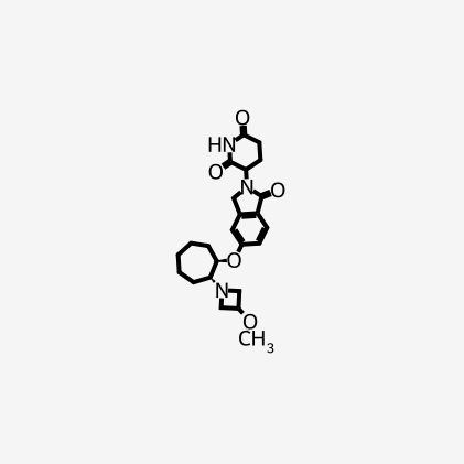 COC1CN([C@@H]2CCCCC[C@H]2Oc2ccc3c(c2)CN(C2CCC(=O)NC2=O)C3=O)C1